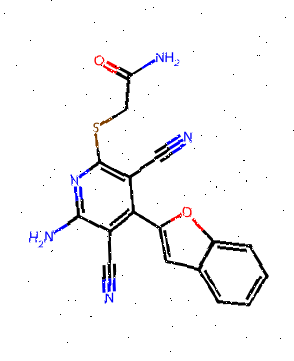 N#Cc1c(N)nc(SCC(N)=O)c(C#N)c1-c1cc2ccccc2o1